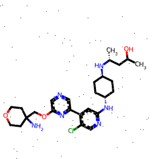 CC(O)C[C@@H](C)N[C@H]1CC[C@H](Nc2cc(-c3cncc(OCC4(N)CCOCC4)n3)c(Cl)cn2)CC1